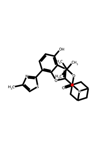 Cc1csc(-c2ccc(O)c3nc(N4CC5CC(C4)N5C(=O)OC(C)(C)C)oc23)n1